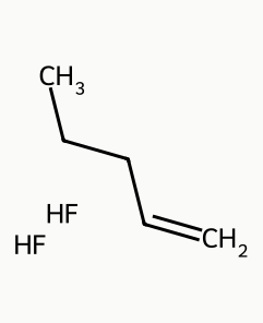 C=CCCC.F.F